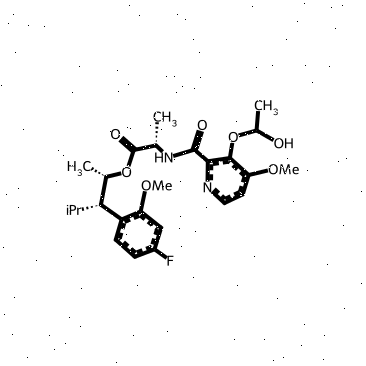 COc1cc(F)ccc1[C@H](C(C)C)[C@H](C)OC(=O)[C@H](C)NC(=O)c1nccc(OC)c1OC(C)O